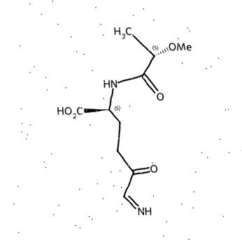 CO[C@@H](C)C(=O)N[C@@H](CCC(=O)C=N)C(=O)O